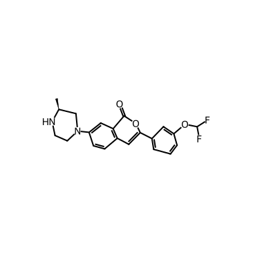 C[C@H]1CN(c2ccc3cc(-c4cccc(OC(F)F)c4)oc(=O)c3c2)CCN1